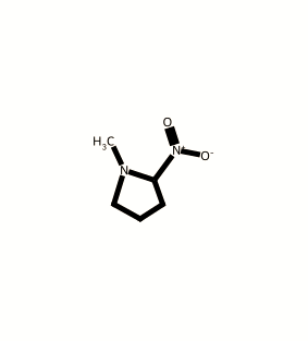 CN1C[CH]CC1[N+](=O)[O-]